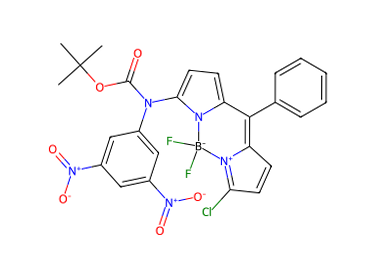 CC(C)(C)OC(=O)N(c1cc([N+](=O)[O-])cc([N+](=O)[O-])c1)c1ccc2n1[B-](F)(F)[N+]1=C(Cl)C=CC1=C2c1ccccc1